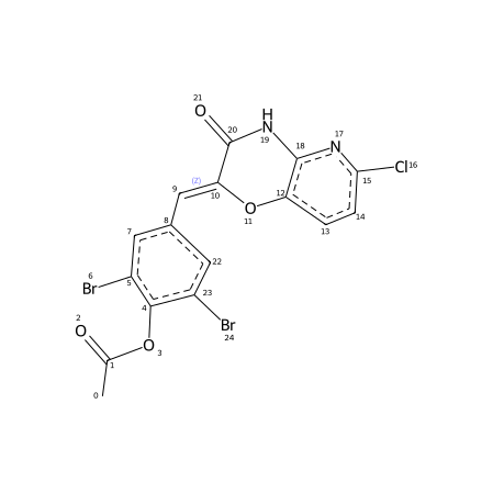 CC(=O)Oc1c(Br)cc(/C=C2\Oc3ccc(Cl)nc3NC2=O)cc1Br